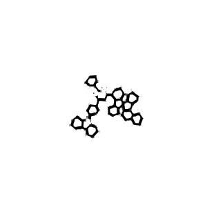 c1ccc(-c2nc(-c3ccc(-n4c5ccccc5c5ccccc54)cc3)cc(-c3cccc4c3-c3ccccc3C43c4ccccc4-c4c3ccc3ccccc43)n2)cc1